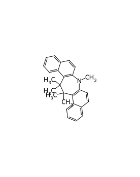 CN1c2ccc3ccccc3c2C(C)(C)C(C)(C)c2c1ccc1ccccc21